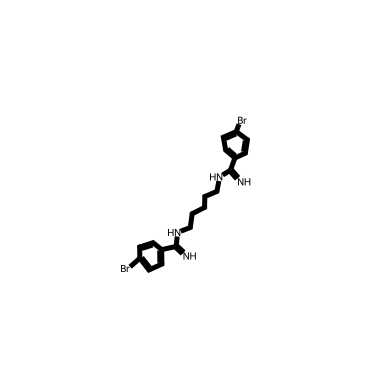 N=C(NCCCCCNC(=N)c1ccc(Br)cc1)c1ccc(Br)cc1